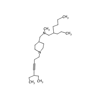 CCCCC(CCC)CN(C)CC1CCN(CCC#CC(CC)CC)CC1